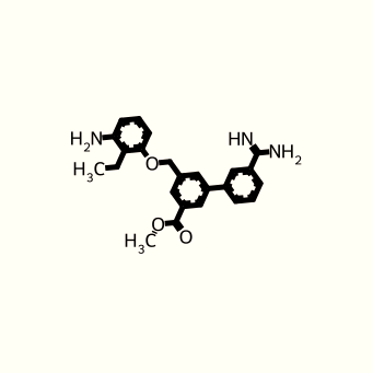 CCc1c(N)cccc1OCc1cc(C(=O)OC)cc(-c2cccc(C(=N)N)c2)c1